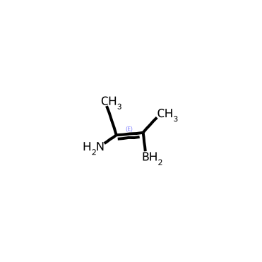 B/C(C)=C(/C)N